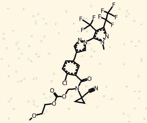 COCCOC(=O)OCN(C(=O)c1cc(-c2cnn(-c3c(C(F)(F)F)c(C(F)(F)C(F)(F)F)nn3C)c2)ccc1Cl)C1(C#N)CC1